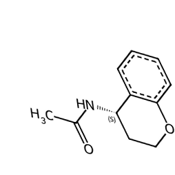 CC(=O)N[C@H]1CCOc2ccccc21